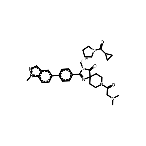 CN(C)CC(=O)N1CCC2(CC1)N=C(c1ccc(-c3ccc4c(cnn4C)c3)cc1)N(C[C@@H]1CCN(C(=O)C3CC3)C1)C2=O